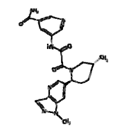 C[C@@H]1CC[C@@H](c2cnc3cnn(C)c3c2)N(C(=O)C(=O)Nc2cncc(C(N)=O)c2)C1